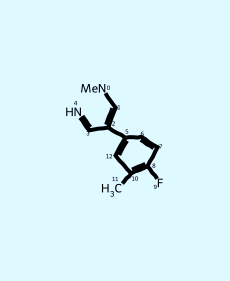 CN/C=C(\C=N)c1ccc(F)c(C)c1